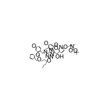 CCCC(CCOCc1ccccc1)Oc1nc(N(Cc2ccc(OC)cc2OC)Cc2ccc(OC)cc2OC)c2ncc(C(O)c3ccc(OCCN(C)C(=O)OC(C)(C)C)nc3OC)n2n1